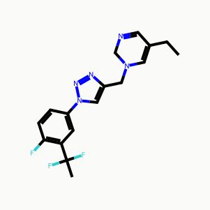 CCC1=CN(Cc2cn(-c3ccc(F)c(C(C)(F)F)c3)nn2)CN=C1